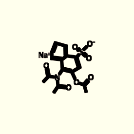 CC(=O)Oc1cc(S(=O)(=O)[O-])c2ccccc2c1N(C(C)=O)C(C)=O.[Na+]